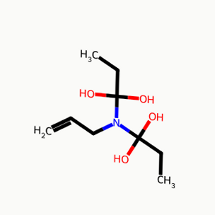 C=CCN(C(O)(O)CC)C(O)(O)CC